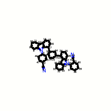 N#Cc1ccc(-n2c3ccccc3c3cccc(-c4cccc(-c5cccc6c5c5ccccc5n6-c5ccccc5C#N)c4)c32)cc1